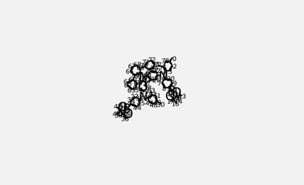 Cc1ccc(N(c2ccc(B3OC(C)(C)C(C)(C)O3)cc2)c2ccc3c(c2)c2cc(N(c4ccc(B5OC(C)(C)C(C)(C)O5)cc4)c4ccc(C)cc4C)ccc2n3-c2c(-c3ccccc3)cccc2-c2ccccc2)c(C)c1